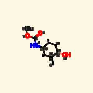 C[C@H]1C[C@@H](NC(=O)OC(C)(C)C)CC[C@@H]1O